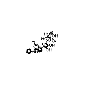 COC[C@@](CO)(OC[C@H]1O[C@@H](c2ccc3c(NC4CCCC4)nc(Cl)nn23)[C@H](O)[C@@H]1O)P(=O)(O)O